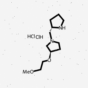 COCCO[C@@H]1CCN(C[C@@H]2CCCN2)C1.Cl.Cl